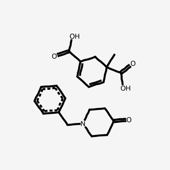 CC1(C(=O)O)C=CC=C(C(=O)O)C1.O=C1CCN(Cc2ccccc2)CC1